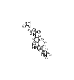 CC(=O)NCC1CN(c2cc(F)c3c(c2)CCCc2c(-c4cc(C)n(C)n4)n[nH]c2-3)C(=O)O1